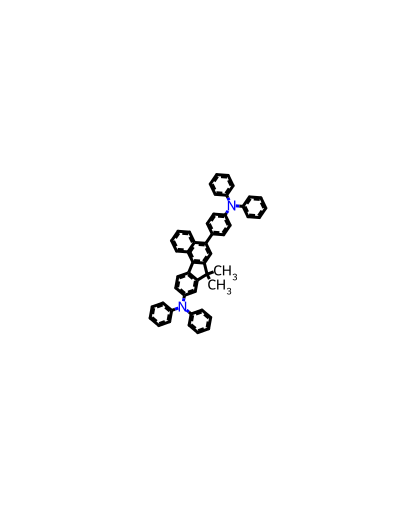 CC1(C)c2cc(N(c3ccccc3)c3ccccc3)ccc2-c2c1cc(-c1ccc(N(c3ccccc3)c3ccccc3)cc1)c1ccccc21